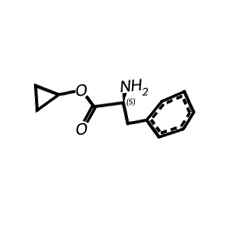 N[C@@H](Cc1ccccc1)C(=O)OC1CC1